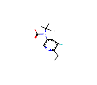 CCc1ncc(N(C(=O)O)C(C)(C)C)cc1F